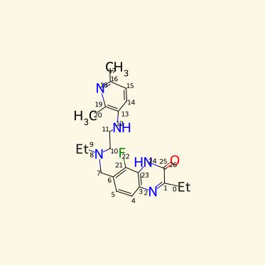 CCc1nc2ccc(CN(CC)CCNc3ccc(C)nc3C)c(F)c2[nH]c1=O